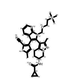 Cc1cc(-c2c(-c3c(C)nn4c3CC[C@@H](NC(=O)C3CC3)C4)n(COCC[Si](C)(C)C)c3ncccc23)c(C#N)s1